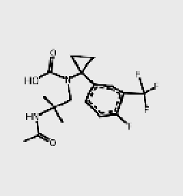 CC(=O)NC(C)(C)CN(C(=O)O)C1(c2ccc(F)c(C(F)(F)F)c2)CC1